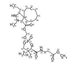 CCC1NN(C)C(C(=O)OCO[P@@]2(=O)OCC(C)(C)[C@H](C(=O)NCCC(=O)OC)O2)C12CCCCCCCC2